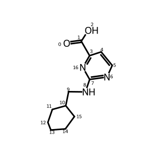 O=C(O)c1ccnc(NCC2CCCCC2)n1